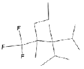 CCCC(C)(C(F)(F)F)C(C)(C(C)C)C(C)C